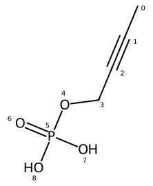 CC#CCOP(=O)(O)O